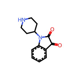 O=C1C(=O)N(C2CCNCC2)c2ccccc21